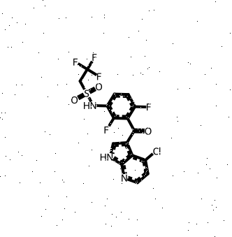 O=C(c1c(F)ccc(NS(=O)(=O)CC(F)(F)F)c1F)c1c[nH]c2nccc(Cl)c12